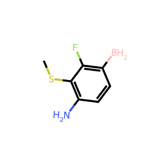 Bc1ccc(N)c(SC)c1F